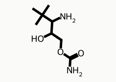 CC(C)(C)C(N)C(O)COC(N)=O